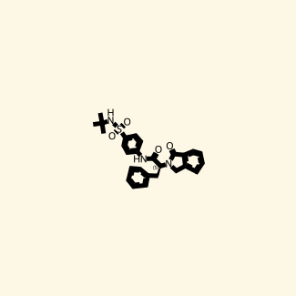 CC(C)(C)NS(=O)(=O)c1ccc(NC(=O)[C@H](Cc2ccccc2)N2Cc3ccccc3C2=O)cc1